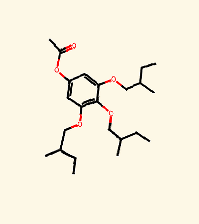 CCC(C)COc1cc(OC(C)=O)cc(OCC(C)CC)c1OCC(C)CC